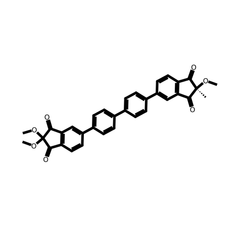 COC1(OC)C(=O)c2ccc(-c3ccc(-c4ccc(-c5ccc6c(c5)C(=O)[C@](C)(OC)C6=O)cc4)cc3)cc2C1=O